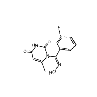 Cc1cc(=O)[nH]c(=O)n1/C(=N\O)c1cccc(F)c1